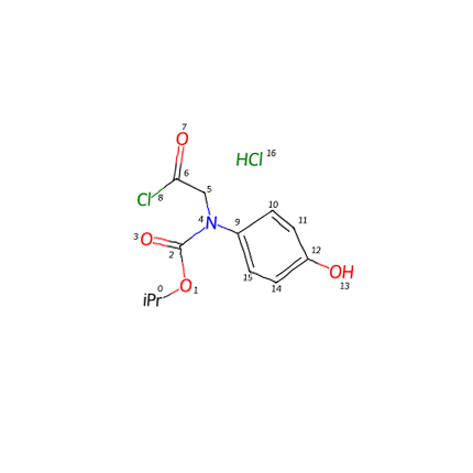 CC(C)OC(=O)N(CC(=O)Cl)c1ccc(O)cc1.Cl